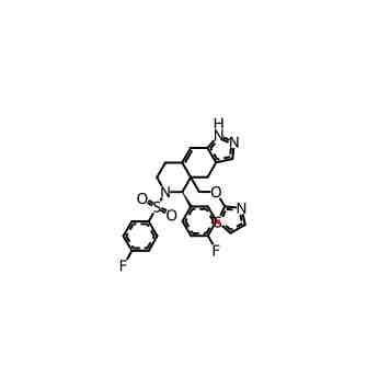 O=S(=O)(c1ccc(F)cc1)N1CCC2=Cc3[nH]ncc3CC2(COc2nccs2)[C@H]1c1ccc(F)cc1